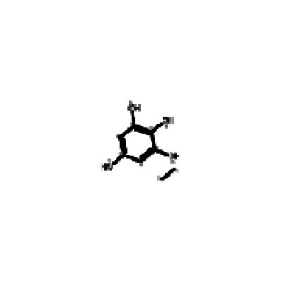 CC.Oc1cc(O)c(O)c(O)c1